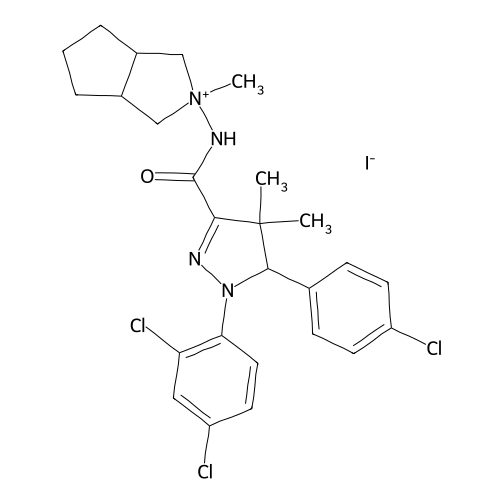 CC1(C)C(C(=O)N[N+]2(C)CC3CCCC3C2)=NN(c2ccc(Cl)cc2Cl)C1c1ccc(Cl)cc1.[I-]